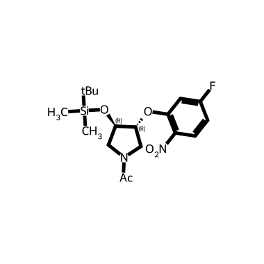 CC(=O)N1C[C@@H](Oc2cc(F)ccc2[N+](=O)[O-])[C@H](O[Si](C)(C)C(C)(C)C)C1